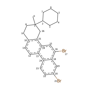 CC1(C2CCCCC2)CCc2ccc3c(cc(Br)c4cc(Br)ccc43)c2C1